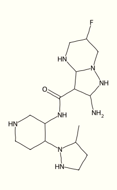 CC1CCNN1C1CCNCC1NC(=O)C1C(N)NN2CC(F)CNC12